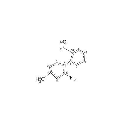 Cc1ccc(-c2ccccc2C=O)c(F)c1